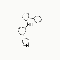 c1ccc(-c2ccccc2Nc2cccc(-c3ccncc3)c2)cc1